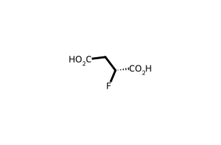 O=C(O)C[C@@H](F)C(=O)O